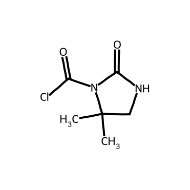 CC1(C)CNC(=O)N1C(=O)Cl